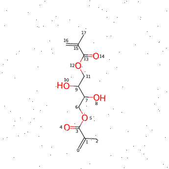 C=C(C)C(=O)OCC(O)C(O)COC(=O)C(=C)C